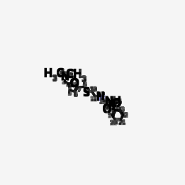 CN(C)Cc1ccc(CSCC/N=C/NS(=O)(=O)c2ccccc2)o1